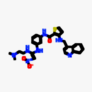 CN(C)CCNC(=C[N+](=O)[O-])Nc1cccc(NC(=O)c2sccc2NCc2ccnc3ccccc23)c1